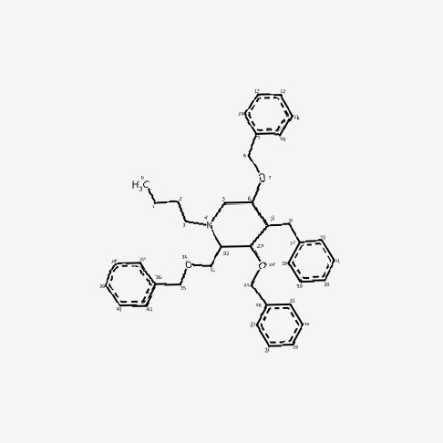 CCCCN1CC(OCc2ccccc2)C(Cc2ccccc2)C(OCc2ccccc2)C1COCc1ccccc1